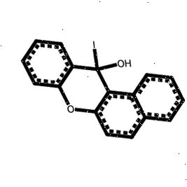 OC1(I)c2ccccc2Oc2ccc3ccccc3c21